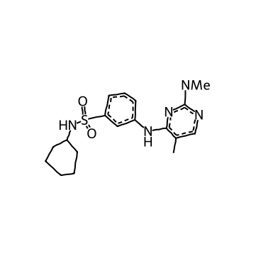 CNc1ncc(C)c(Nc2cccc(S(=O)(=O)NC3CCCCC3)c2)n1